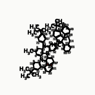 Cc1cc2c3c(c1)N(c1ccc(C(C)(C)C)cc1-c1ccccc1)c1ccccc1B3c1ccc(N3c4ccc(C(C)(C)C)cc4C4(c5ccccc5)CCc5ccccc5C34C)cc1N2c1ccc(C(C)(C)C)cc1